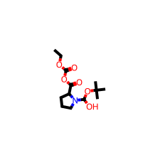 CCOC(=O)OC(=O)C1CCCN1C(O)OC(C)(C)C